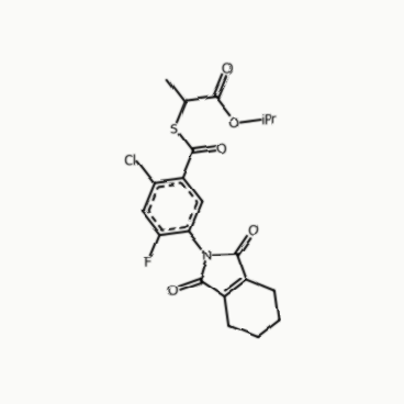 CC(C)OC(=O)C(C)SC(=O)c1cc(N2C(=O)C3=C(CCCC3)C2=O)c(F)cc1Cl